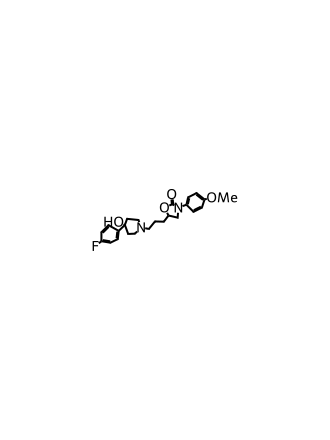 COc1ccc(N2CC(CCCN3CCC(O)(c4ccc(F)cc4)CC3)OC2=O)cc1